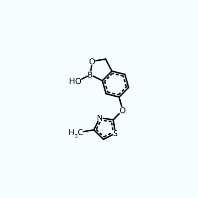 Cc1csc(Oc2ccc3c(c2)B(O)OC3)n1